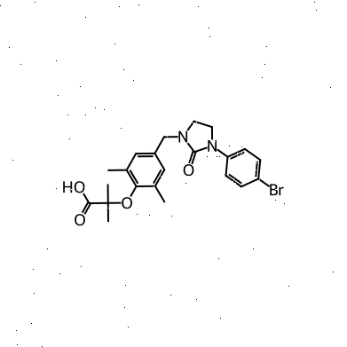 Cc1cc(CN2CCN(c3ccc(Br)cc3)C2=O)cc(C)c1OC(C)(C)C(=O)O